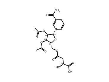 CC(=O)O[C@@H]1[C@H](OC(C)=O)[C@@H](COC(=O)C[C@H](O)C(=O)O)O[C@H]1N1C=CCC(C(N)=O)=C1